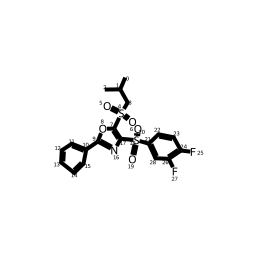 CC(C)CS(=O)(=O)c1oc(-c2ccccc2)nc1S(=O)(=O)c1ccc(F)c(F)c1